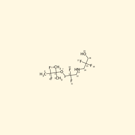 CC(F)(F)C(C)(C)OCC(F)(F)CNCC(F)(F)CO